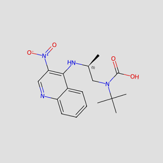 C[C@@H](CN(C(=O)O)C(C)(C)C)Nc1c([N+](=O)[O-])cnc2ccccc12